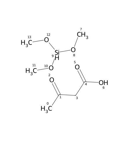 CC(=O)CC(=O)O.CO[SiH](OC)OC